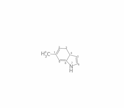 CC1=CCC2C=CNC2=C1